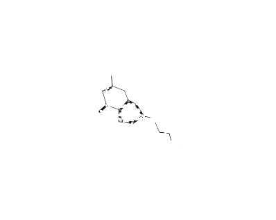 CCCOc1ccc2c(c1)CC(C)=CC2=O